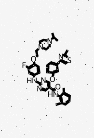 Cc1nc(-c2cccc(Oc3nc(Nc4ccc(OCCN5CCN(C(C)C)CC5)c(F)c4)ncc3C(=O)Nc3c(C)cccc3C)c2)cs1